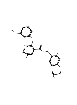 COc1cccc(Oc2ncc(F)cc2C(=O)NCc2ccc(O[C@H](C)C(=O)O)cc2F)c1